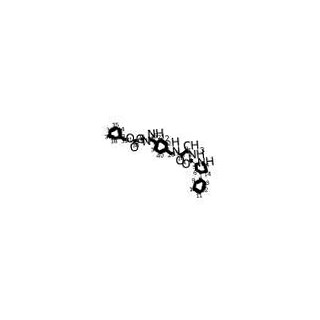 C[C@H](NC(=O)[C@H]1C[C@@H](c2ccccc2)CCN1)C(=O)NCc1ccc(/C(N)=N/OC(=O)OCc2ccccc2)cc1